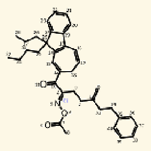 C=C(CC/C(=N\OC(C)=O)C(=O)C1=CC2=C(C=CC1)c1ccccc1C2(CCC)CCCC)CCc1ccccc1